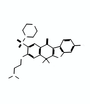 C=S(=O)(c1cc2c(cc1OCCN(CC)CC)C(C)(C)c1[nH]c3cc(C#N)ccc3c1C2=O)N1CCOCC1